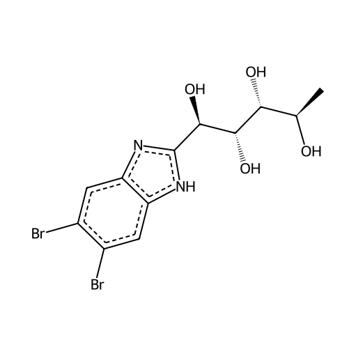 C[C@@H](O)[C@@H](O)[C@H](O)[C@H](O)c1nc2cc(Br)c(Br)cc2[nH]1